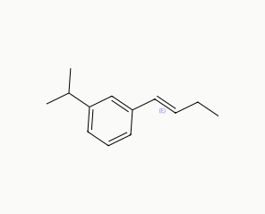 CC/C=C/c1cccc(C(C)C)c1